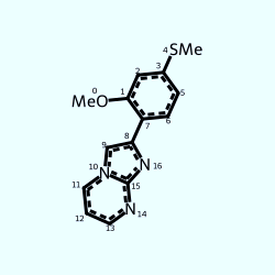 COc1cc(SC)ccc1-c1cn2cccnc2n1